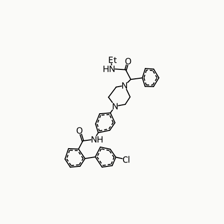 CCNC(=O)C(c1ccccc1)N1CCN(c2ccc(NC(=O)c3ccccc3-c3ccc(Cl)cc3)cc2)CC1